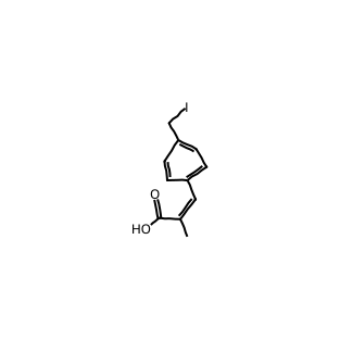 CC(=Cc1ccc(CI)cc1)C(=O)O